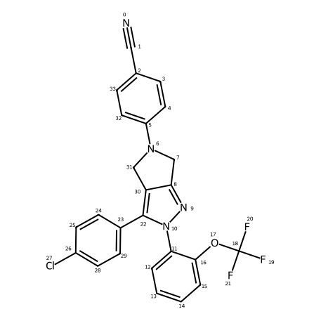 N#Cc1ccc(N2Cc3nn(-c4ccccc4OC(F)(F)F)c(-c4ccc(Cl)cc4)c3C2)cc1